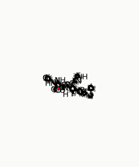 CC(C)c1ccccc1[C@@H]1CCCN1C1CC2(CCN(c3cc(Oc4cnc5[nH]ccc5c4)c(C(=O)NS(=O)(=O)c4cc(N)c(NCC5CCOCC5)c5c4OCO5)cc3F)CC2)C1